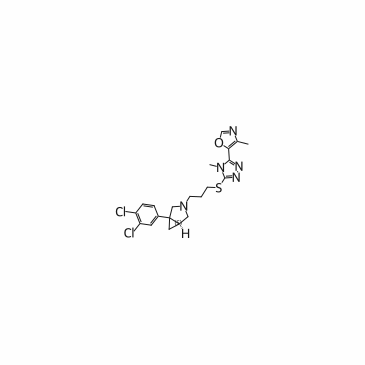 Cc1ncoc1-c1nnc(SCCCN2C[C@H]3CC3(c3ccc(Cl)c(Cl)c3)C2)n1C